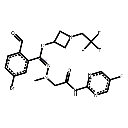 CN(CC(=O)Nc1ncc(F)cn1)/N=C(/OC1CN(CC(F)(F)F)C1)c1cc(Br)ccc1C=O